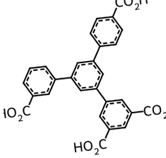 O=C(O)c1ccc(-c2cc(-c3cccc(C(=O)O)c3)cc(-c3cc(C(=O)O)cc(C(=O)O)c3)c2)cc1